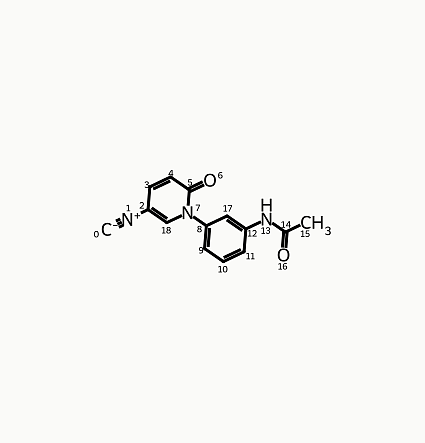 [C-]#[N+]c1ccc(=O)n(-c2cccc(NC(C)=O)c2)c1